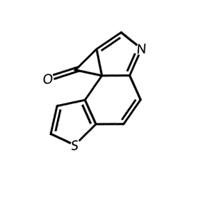 O=C1C2=CN=C3C=Cc4sccc4C123